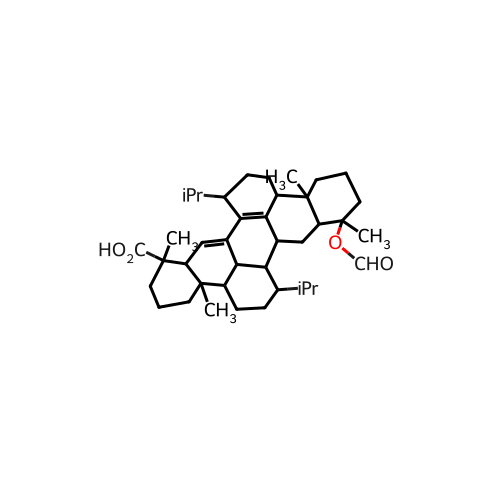 CC(C)C1CCC2C3=C1C1=CC4C(C)(C(=O)O)CCCC4(C)C4CCC(C(C)C)C(C3CC3C(C)(OC=O)CCCC23C)C14